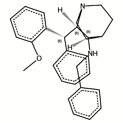 COc1ccccc1[C@@H](c1ccccc1)[C@@H]1[C@H](NCc2ccccc2)C2CCN1CC2